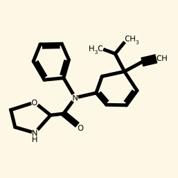 C#CC1(C(C)C)C=CC=C(N(C(=O)C2NCCO2)c2ccccc2)C1